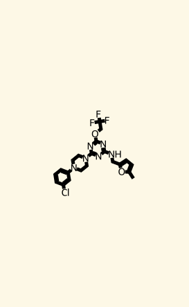 Cc1ccc(CNc2nc(OCC(F)(F)F)nc(N3CCN(c4cccc(Cl)c4)CC3)n2)o1